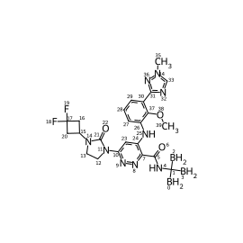 BC(B)(B)NC(=O)c1nnc(N2CCN(C3CC(F)(F)C3)C2=O)cc1Nc1cccc(-c2ncn(C)n2)c1OC